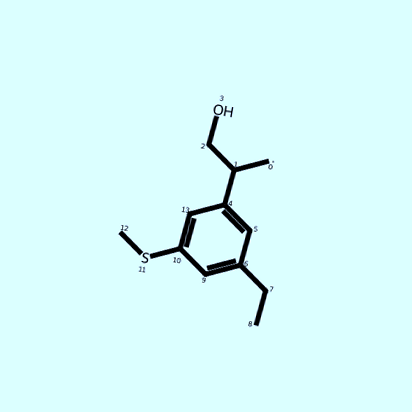 [CH2]C(CO)c1cc(CC)cc(SC)c1